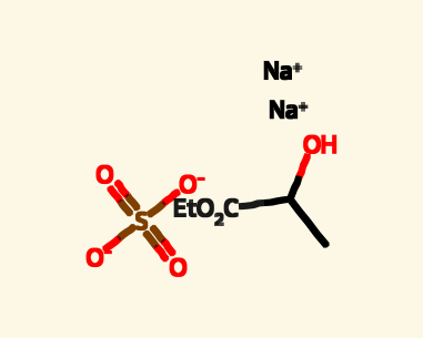 CCOC(=O)C(C)O.O=S(=O)([O-])[O-].[Na+].[Na+]